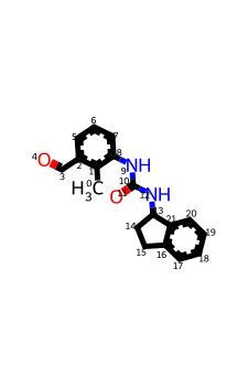 Cc1c(C=O)cccc1NC(=O)NC1CCc2ccccc21